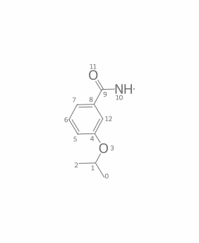 CC(C)Oc1cccc(C([NH])=O)c1